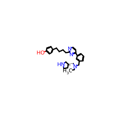 CCN(Cc1cccc(-c2ccnc(CCCCc3ccc(O)cc3)n2)c1)C[C@@H]1CCNC1